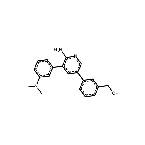 CN(C)c1cccc(-c2cc(-c3cccc(CO)c3)cnc2N)c1